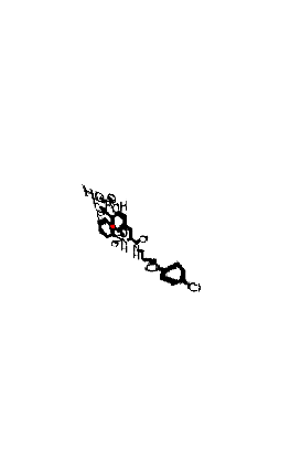 O=C(NCCCOc1ccc(Cl)cc1)C(Cc1ccc(C(F)(F)P(=O)(O)O)cc1)NS(=O)(=O)c1ccccc1